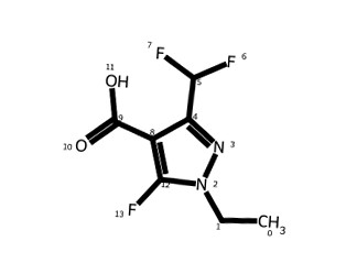 CCn1nc(C(F)F)c(C(=O)O)c1F